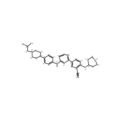 N#Cc1cc(-c2nccc(Nc3ccc(C4CCN(CC(F)F)CC4)cc3)n2)ccc1OC1CCOCC1